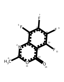 Cc1nc2c(F)c(F)c(F)c(F)c2c(=O)o1